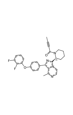 CC#CC(=O)N1CCCC[C@H]1c1nc(-c2ccc(Oc3cccc(F)c3F)cc2)c2c(C)nccn12